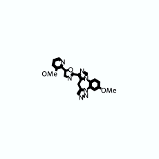 COc1ccc2c(c1)-n1nncc1Cc1c(C3=NCC(c4ncccc4OC)O3)ncn1-2